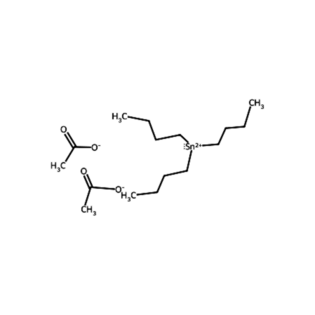 CC(=O)[O-].CC(=O)[O-].CCC[CH2][Sn+2]([CH2]CCC)[CH2]CCC